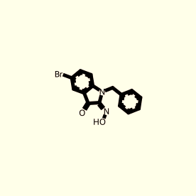 O=C1C(=NO)N(Cc2ccccc2)c2ccc(Br)cc21